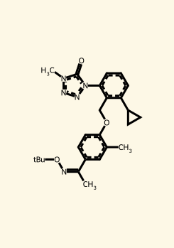 C/C(=N/OC(C)(C)C)c1ccc(OCc2c(C3CC3)cccc2-n2nnn(C)c2=O)c(C)c1